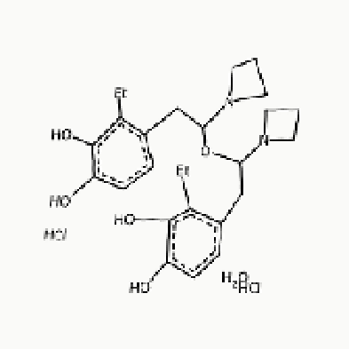 CCc1c(CC(OC(Cc2ccc(O)c(O)c2CC)N2CCC2)N2CCC2)ccc(O)c1O.Cl.Cl.O